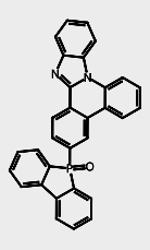 O=P1(c2ccc3c(c2)c2ccccc2n2c4ccccc4nc32)c2ccccc2-c2ccccc21